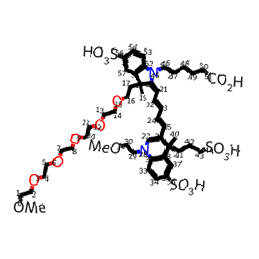 COCCOCCOCCOCCOCCOCCC1(C)\C(=C/C=C/C=C/C2=CN(CCOC)c3ccc(S(=O)(=O)O)cc3C2(C)CCCS(=O)(=O)O)N(CCCCCC(=O)O)c2ccc(S(=O)(=O)O)cc21